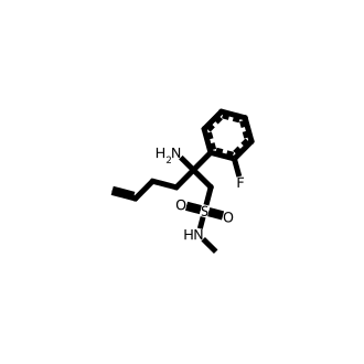 C=CCCC(N)(CS(=O)(=O)NC)c1ccccc1F